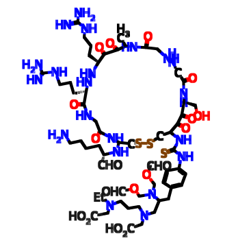 CCN(CCCN(CC(=O)O)CC(Cc1ccc(NC(=S)NC2CSSCC(N[C@H](C=O)CCCCN)NC(=O)CNC(=O)[C@H](CCCNC(=N)N)NN[C@@H](CCCNC(=N)N)C(=O)C(=O)C(C)NC(=O)CNNCC(=O)N[C@@H](CO)C(=O)C2=O)cc1)N(COC=O)COC=O)CC(=O)O